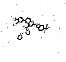 O=C(c1cc(NCc2ccc(C(F)(F)F)cc2)nc2ccc(-c3ccc(Cl)c(Cl)c3)cc12)N1CCC[C@H]1CN1CCCC1